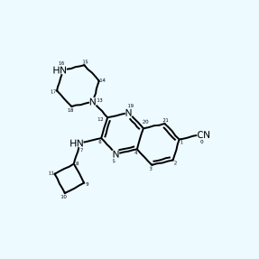 N#Cc1ccc2nc(NC3CCC3)c(N3CCNCC3)nc2c1